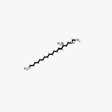 CCCCCCCCCCCCC/C=C/[C@@H](N)CCNCC